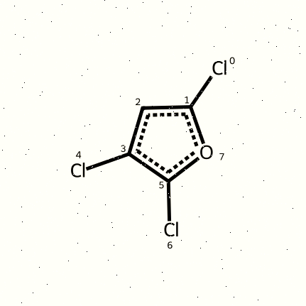 Clc1cc(Cl)c(Cl)o1